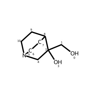 OCC1(O)CN2CCC1CC2